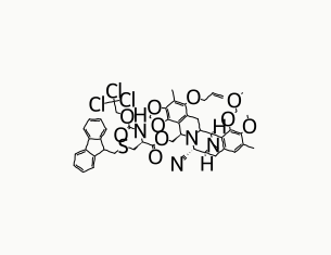 C=CCOc1c(C)c2c(c3c1CC1[C@H]4c5c(cc(C)c(OC)c5OCOC)C[C@@H]([C@H](C#N)N1[C@H]3COC(=O)[C@@H](CSCC1c3ccccc3-c3ccccc31)NC(=O)OCC(Cl)(Cl)Cl)N4C)OCO2